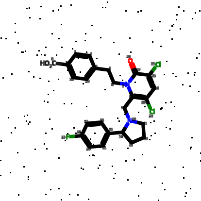 O=C(O)c1ccc(CCn2c(CN3CCCC3c3ccc(F)cc3)c(Cl)cc(Cl)c2=O)cc1